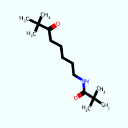 CC(C)(C)C(=O)CCCCCNC(=O)C(C)(C)C